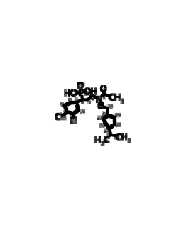 CC(=O)N(CCC(c1ccc(Cl)c(Cl)c1)P(=O)(O)O)OCc1ccc(C(C)C)cc1